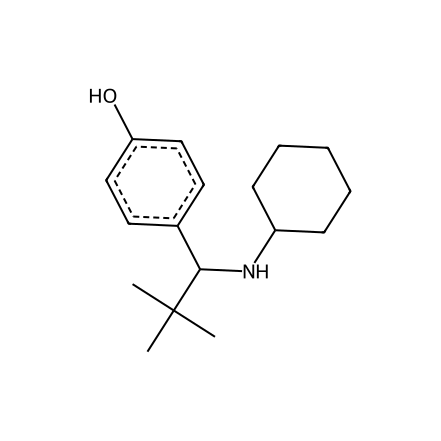 CC(C)(C)C(NC1CCCCC1)c1ccc(O)cc1